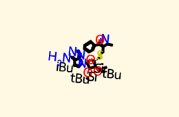 CCC(C)c1cn([C@@H]2O[C@H](CSCc3c(C)noc3-c3ccccc3)[C@@H](O[Si](C)(C)C(C)(C)C)[C@H]2O[Si](C)(C)C(C)(C)C)c2ncnc(N)c12